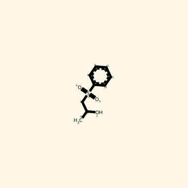 CC(O)CS(=O)(=O)c1ccccc1